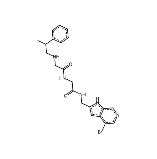 CC(CNCC(=O)NCC(=O)NCc1cc2c(Br)cncc2[nH]1)c1ccccc1